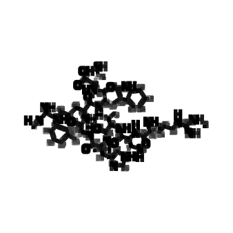 CC[C@@H](NC(=O)[C@H](CS)NC(=O)[C@@H](N)CCCNC(=N)N)C(=O)N[C@@H](Cc1c[nH]cn1)C(=O)N[C@H](Cc1ccccc1)C(=O)N[C@@H](CCCNC(=N)N)C(=O)N[C@@H](Cc1c[nH]c2ccccc12)C(=O)N[C@@H](CS)C(=O)O